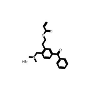 Br.C=CC(=O)OCCc1cc(C(=O)c2ccccc2)ccc1CN(C)C